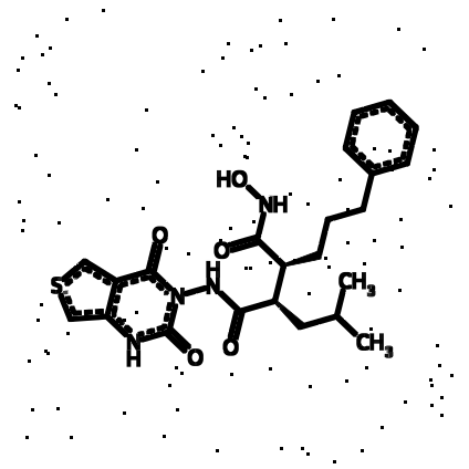 CC(C)C[C@@H](C(=O)Nn1c(=O)[nH]c2cscc2c1=O)[C@H](CCCc1ccccc1)C(=O)NO